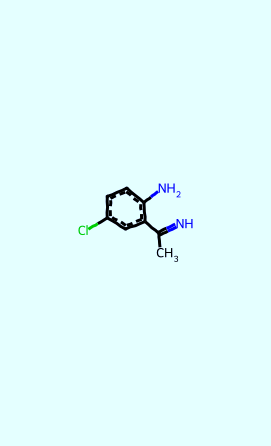 CC(=N)c1cc(Cl)ccc1N